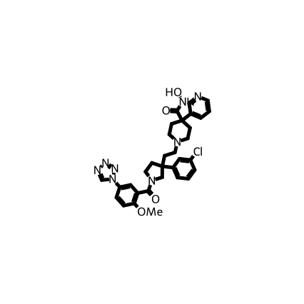 COc1ccc(-n2cnnn2)cc1C(=O)N1CCC(CCN2CCC(C(=O)NO)(c3cccnc3)CC2)(c2cccc(Cl)c2)C1